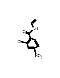 C=CNC(=O)c1ccc([N+](=O)[O-])cc1Cl